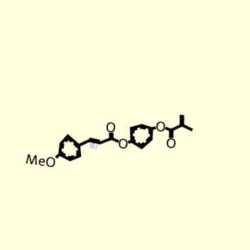 C=C(C)C(=O)Oc1ccc(OC(=O)/C=C/c2ccc(OC)cc2)cc1